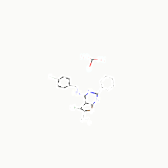 Cc1sc2nc(C3CCCCC3)nc(NCc3ccc(F)cc3)c2c1Cl.O=C(O)O